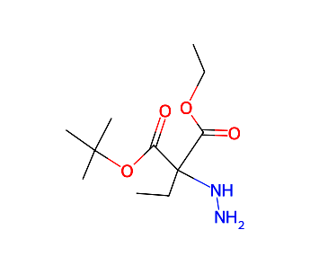 CCOC(=O)C(CC)(NN)C(=O)OC(C)(C)C